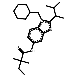 CCC(C)(C)C(=O)Nc1ccc2c(c1)nc(C(C)C(C)C)n2CC1CCCCC1